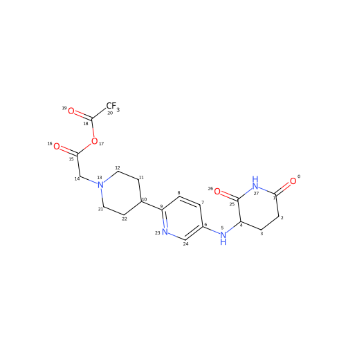 O=C1CCC(Nc2ccc(C3CCN(CC(=O)OC(=O)C(F)(F)F)CC3)nc2)C(=O)N1